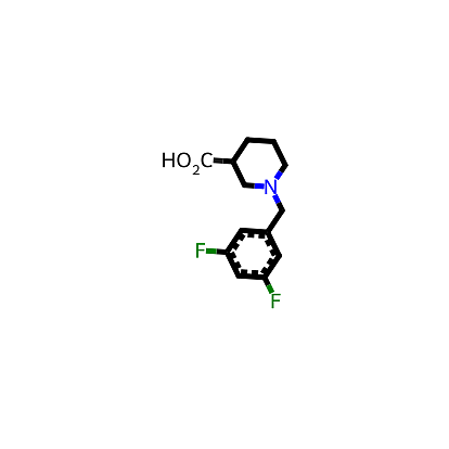 O=C(O)C1CCCN(Cc2cc(F)cc(F)c2)C1